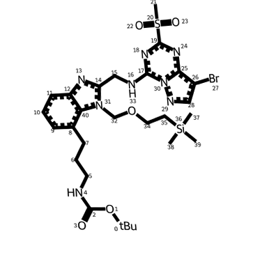 CC(C)(C)OC(=O)NCCCc1cccc2nc(CNc3nc(S(C)(=O)=O)nc4c(Br)cnn34)n(COCC[Si](C)(C)C)c12